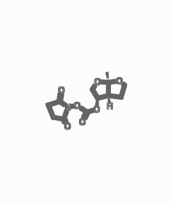 C[C@]12OCC[C@H]1[C@@H](OC(=O)ON1C(=O)CCC1=O)CO2